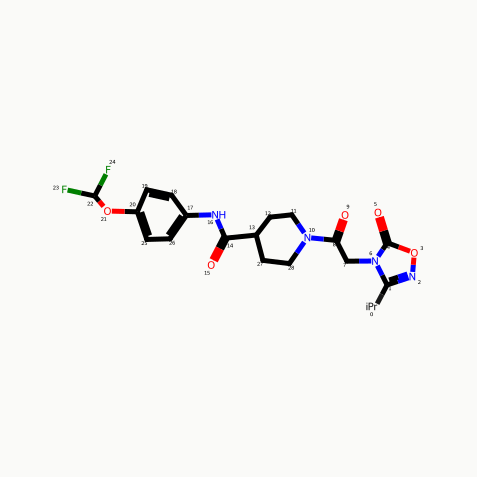 CC(C)c1noc(=O)n1CC(=O)N1CCC(C(=O)Nc2ccc(OC(F)F)cc2)CC1